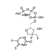 O=c1[nH]c(=S)c(F)cn1[C@@H]1O[C@H](COP(=O)(O)OP(=O)(O)OP(=O)(O)O)[C@H](O)C1(F)CF